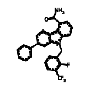 NC(=O)c1cccc2c1c1[c]cc(-c3ccccc3)cc1n2Cc1cccc(C(F)(F)F)c1F